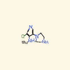 CC(C)(C)Nc1c(Cl)cncc1N1CCNCC1